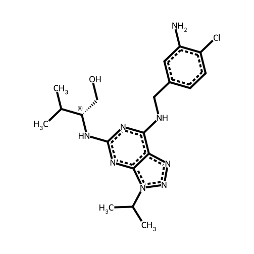 CC(C)[C@H](CO)Nc1nc(NCc2ccc(Cl)c(N)c2)c2nnn(C(C)C)c2n1